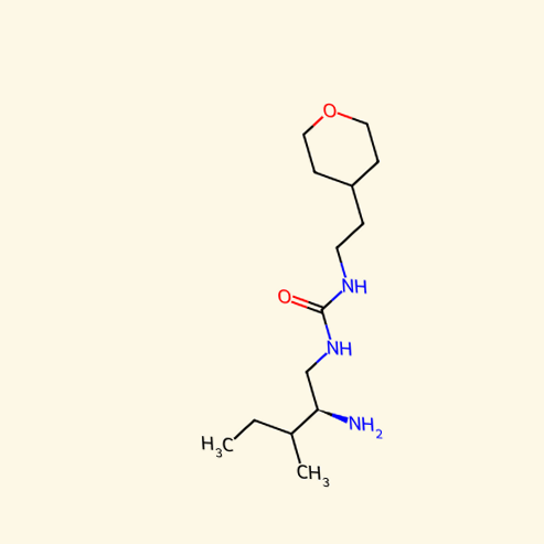 CCC(C)[C@H](N)CNC(=O)NCCC1CCOCC1